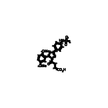 COc1ccc(OC)c(C2CC(c3ccc(NS(C)(=O)=O)cc3)=NN2C(=O)CCC(=O)O)c1